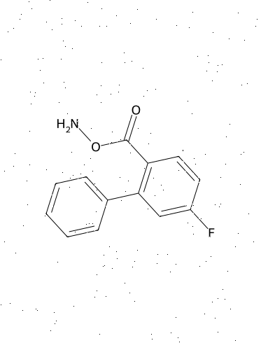 NOC(=O)c1ccc(F)cc1-c1ccccc1